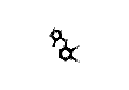 Cc1on[c]c1Oc1cccc(Cl)c1Cl